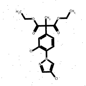 CCOC(=O)C(C)(C(=O)OCC)c1ccc(-n2cc(Cl)cn2)c(Cl)c1